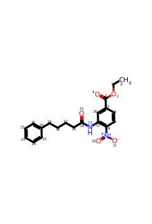 CCOC(=O)c1ccc([N+](=O)[O-])c(NC(=O)CCCCc2ccccc2)c1